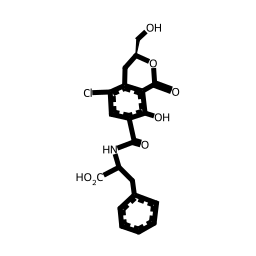 O=C(NC(Cc1ccccc1)C(=O)O)c1cc(Cl)c2c(c1O)C(=O)O[C@H](CO)C2